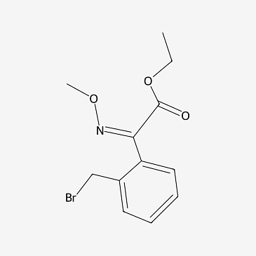 CCOC(=O)C(=NOC)c1ccccc1CBr